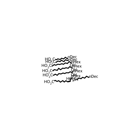 CCCCCCC(O)CCCCCCCCCCC(=O)O.CCCCCCC(O)CCCCCCCCCCC(=O)O.CCCCCCC(O)CCCCCCCCCCC(=O)O.CCCCCCCCCCCCCCCCCC(=O)O.CCCCCCCCCCCCCCCCCC(=O)O.CCCCCCCCCCCCCCCCCC(=O)O.CCCCCC[C@@H](O)C/C=C\CCCCCCCC(=O)O